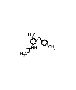 C=CC(=O)Nc1ccc(C)c(Oc2ccc(C)cc2)c1